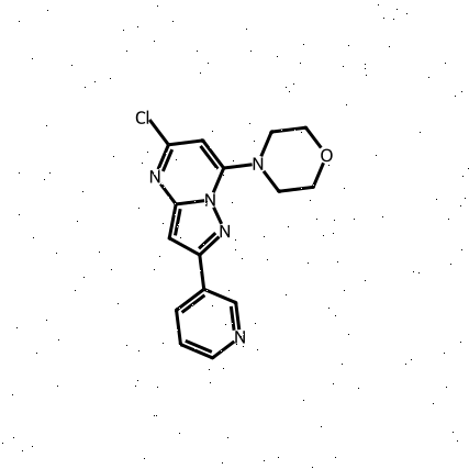 Clc1cc(N2CCOCC2)n2nc(-c3cccnc3)cc2n1